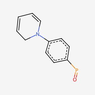 O=Pc1ccc(N2C=CC=CC2)cc1